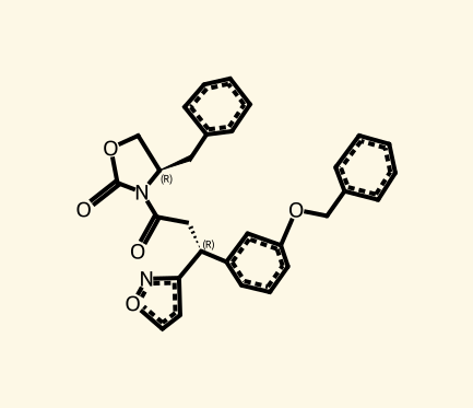 O=C(C[C@H](c1cccc(OCc2ccccc2)c1)c1ccon1)N1C(=O)OC[C@H]1Cc1ccccc1